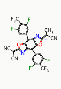 C/C(C#N)=c1\nc2c(-c3cc(F)c(C(F)(F)F)c(F)c3)c3oc(=C(C#N)C#N)nc3c(-c3cc(F)c(C(F)(F)F)c(F)c3)c2o1